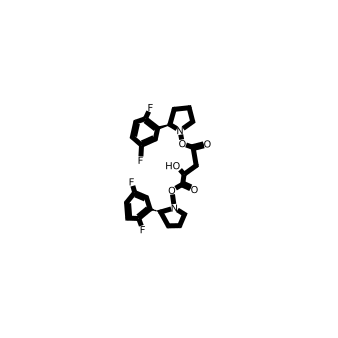 O=C(CC(O)C(=O)ON1CCC[C@@H]1c1cc(F)ccc1F)ON1CCC[C@@H]1c1cc(F)ccc1F